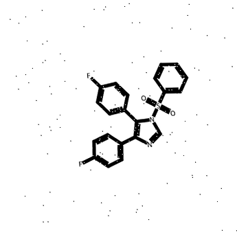 O=S(=O)(c1ccccc1)n1cnc(-c2ccc(F)cc2)c1-c1ccc(F)cc1